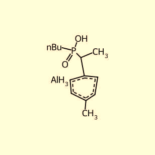 CCCCP(=O)(O)C(C)c1ccc(C)cc1.[AlH3]